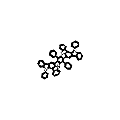 c1ccc(-c2c3c4cc5c6ccccc6n(-c6ccccc6)c5c5c6ccccc6n(c3c(-c3ccccc3)c3c6cc7c8ccccc8n(-c8ccccc8)c7c7c8ccccc8n(c23)c67)c45)cc1